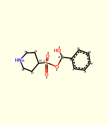 O=S(=O)(OB(O)c1ccccc1)C1CCNCC1